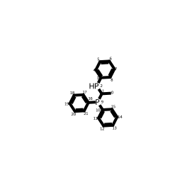 CC(Pc1ccccc1)P(c1ccccc1)c1ccccc1